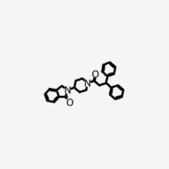 O=C(CC(c1ccccc1)c1ccccc1)N1CCC(N2Cc3ccccc3C2=O)CC1